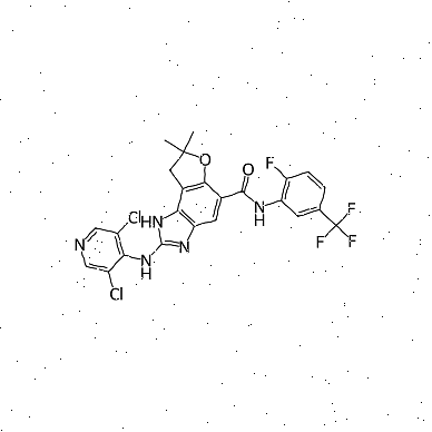 CC1(C)Cc2c(c(C(=O)Nc3cc(C(F)(F)F)ccc3F)cc3nc(Nc4c(Cl)cncc4Cl)[nH]c23)O1